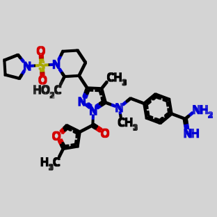 Cc1cc(C(=O)n2nc(C3CCCN(S(=O)(=O)N4CCCC4)C3C(=O)O)c(C)c2N(C)Cc2ccc(C(=N)N)cc2)co1